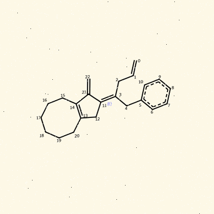 C=CC/C(Cc1ccccc1)=C1/CC2=C(CCCCCC2)C1=C